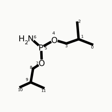 CC(C)COP(N)OCC(C)C